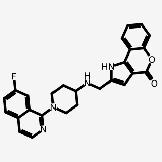 O=c1oc2ccccc2c2[nH]c(CNC3CCN(c4nccc5ccc(F)cc45)CC3)cc12